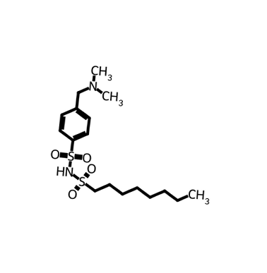 CCCCCCCCS(=O)(=O)NS(=O)(=O)c1ccc(CN(C)C)cc1